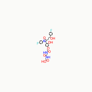 O=C(O)CNC(=O)CNC(=O)COc1ccc(C2C(CCC(O)c3ccc(F)cc3)C(=O)N2c2ccc(F)cc2)c(O)c1